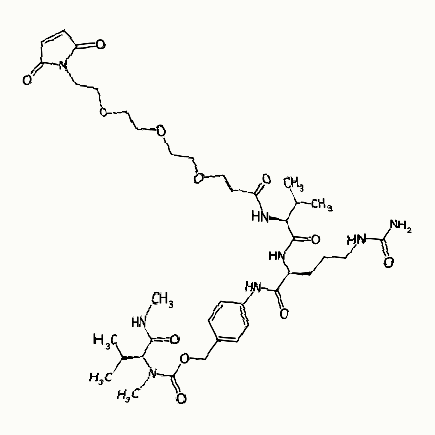 CNC(=O)[C@H](C(C)C)N(C)C(=O)OCc1ccc(NC(=O)[C@H](CCCNC(N)=O)NC(=O)[C@@H](NC(=O)CCOCCOCCOCCN2C(=O)C=CC2=O)C(C)C)cc1